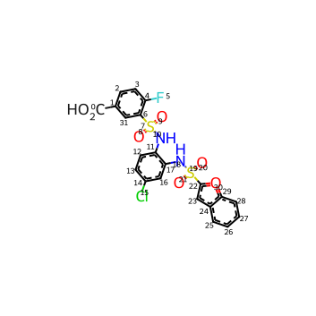 O=C(O)c1ccc(F)c(S(=O)(=O)Nc2ccc(Cl)cc2NS(=O)(=O)c2cc3ccccc3o2)c1